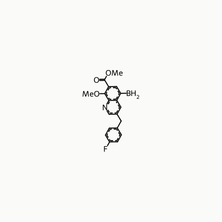 Bc1cc(C(=O)OC)c(OC)c2ncc(Cc3ccc(F)cc3)cc12